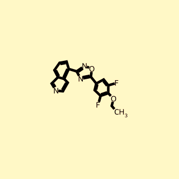 CCOc1c(F)cc(-c2nc(-c3cccc4cnccc34)no2)cc1F